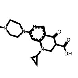 CN1CCN(c2cc3c(cn2)C(=O)C(C(=O)O)CN3C2CC2)CC1